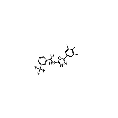 Cc1cc(-c2nnc(NC(=O)c3cccc(C(F)(F)F)c3)o2)cc(C)c1C